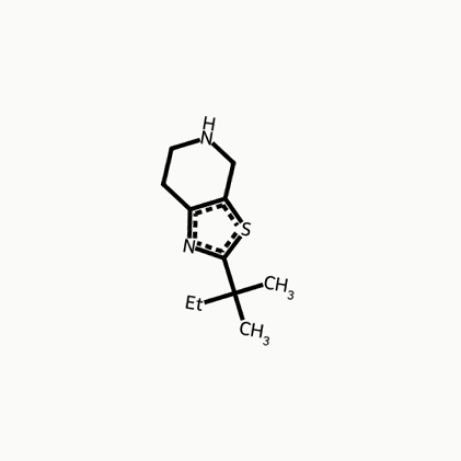 CCC(C)(C)c1nc2c(s1)CNCC2